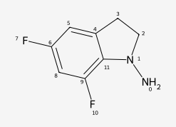 NN1CCc2cc(F)cc(F)c21